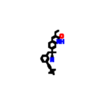 CCc1cc2ccc(C(C)(C#N)Cc3cccc(C#C[Si](C)(C)C)c3)cc2[nH]c1=O